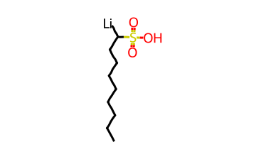 [Li][CH](CCCCCCCC)S(=O)(=O)O